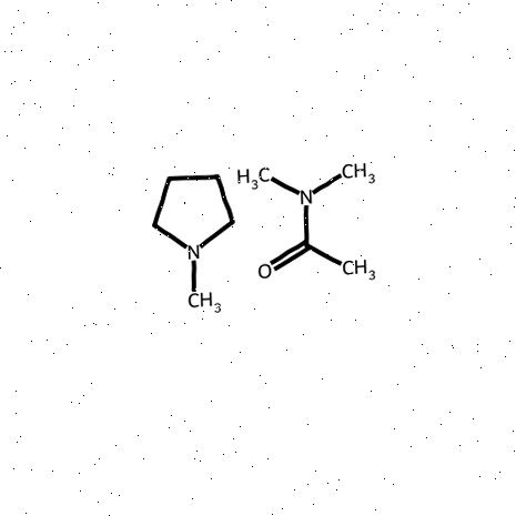 CC(=O)N(C)C.CN1CCCC1